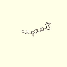 c1cc(-c2cn(Cc3cc4[nH]c(CNCC5CCC5)cc4cn3)nn2)c2cn[nH]c2c1